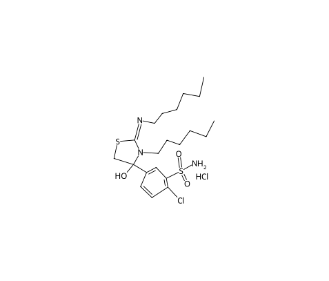 CCCCCCN=C1SCC(O)(c2ccc(Cl)c(S(N)(=O)=O)c2)N1CCCCCC.Cl